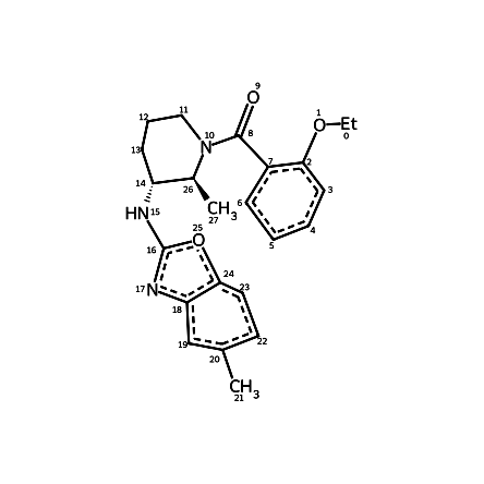 CCOc1ccccc1C(=O)N1CCC[C@@H](Nc2nc3cc(C)ccc3o2)[C@@H]1C